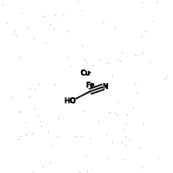 N#CO.[Cu].[Fe]